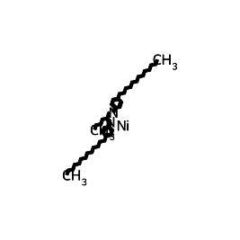 CCCCCCCCCCCCCc1ccc(N=CC(CCCC)=Nc2ccc(CCCCCCCCCCCCC)cc2)cc1.[Ni]